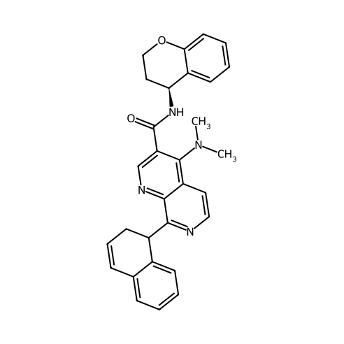 CN(C)c1c(C(=O)N[C@H]2CCOc3ccccc32)cnc2c(C3CC=Cc4ccccc43)nccc12